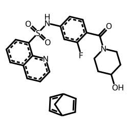 C1=CC2=CC=C1C2.O=C(c1ccc(NS(=O)(=O)c2cccc3cccnc23)cc1F)N1CCC(O)CC1